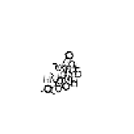 CCNC(=O)C(Oc1ccc(Cl)c(NC(=O)C(C(=O)C(C)(C)C)N2C(=O)C(OCC)N(Cc3ccccc3)C2=O)c1)c1ccc(C)cc1C